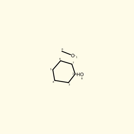 C[O].[CH]1CCCCC1.[OH]